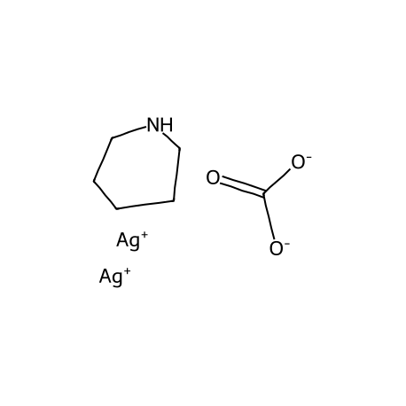 C1CCNCC1.O=C([O-])[O-].[Ag+].[Ag+]